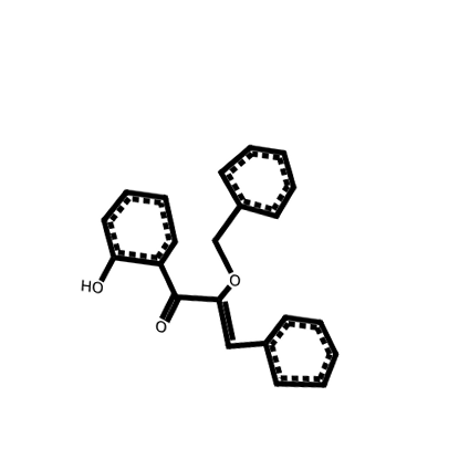 O=C(C(=Cc1ccccc1)OCc1ccccc1)c1ccccc1O